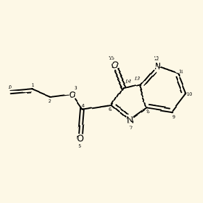 C=CCOC(=O)C1=Nc2cccnc2C1=O